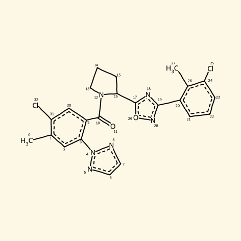 Cc1cc(-n2nccn2)c(C(=O)N2CCCC2c2nc(-c3cccc(Cl)c3C)no2)cc1Cl